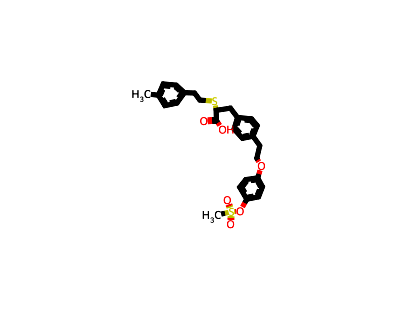 Cc1ccc(CCSC(Cc2ccc(CCOc3ccc(OS(C)(=O)=O)cc3)cc2)C(=O)O)cc1